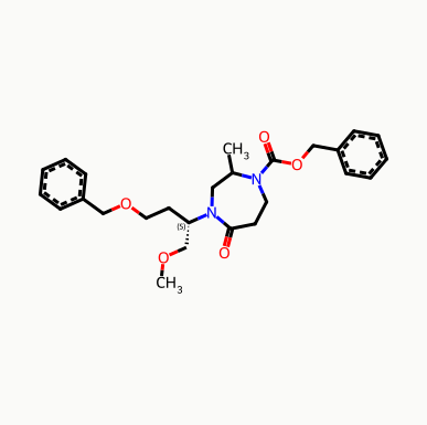 COC[C@H](CCOCc1ccccc1)N1CC(C)N(C(=O)OCc2ccccc2)CCC1=O